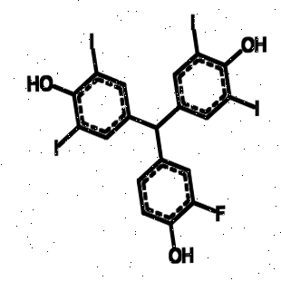 Oc1ccc(C(c2cc(I)c(O)c(I)c2)c2cc(I)c(O)c(I)c2)cc1F